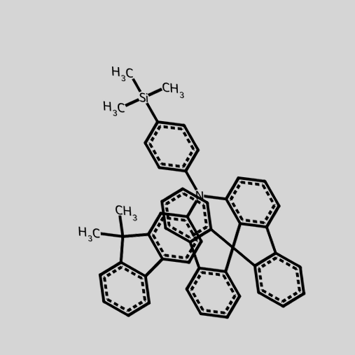 CC1(C)c2ccccc2-c2ccc(N(c3ccc([Si](C)(C)C)cc3)c3cccc4c3C3(c5ccccc5-c5ccccc53)c3ccccc3-4)cc21